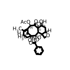 CC(=O)O[C@H]1C(=O)[C@@]2(C)C([C@H](OC(=O)c3ccccc3)[C@]3(O)CCC(C)=C1C3(C)C)[C@]1(OC(C)=O)CO[C@@H]1C[C@@H]2O